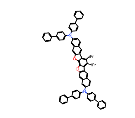 CC(C)c1c(C(C)C)c2c3cc4ccc(N(c5ccc(-c6ccccc6)cc5)c5ccc(-c6ccccc6)cc5)cc4cc3oc2c2oc3cc4cc(N(c5ccc(-c6ccccc6)cc5)c5ccc(-c6ccccc6)cc5)ccc4cc3c12